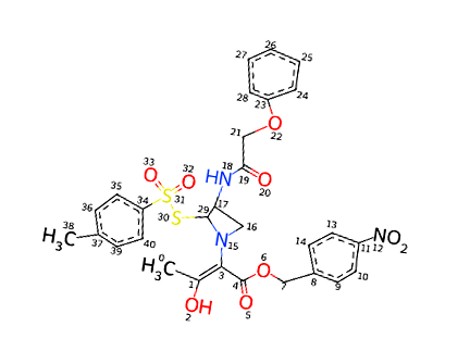 C/C(O)=C(/C(=O)OCc1ccc([N+](=O)[O-])cc1)N1CC(NC(=O)COc2ccccc2)C1SS(=O)(=O)c1ccc(C)cc1